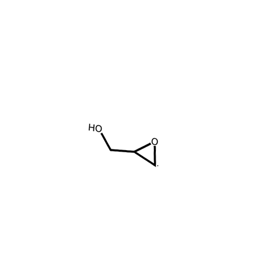 OCC1[CH]O1